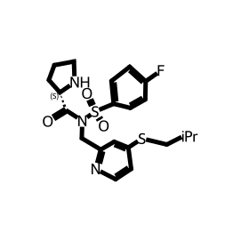 CC(C)CSc1ccnc(CN(C(=O)[C@@H]2CCCN2)S(=O)(=O)c2ccc(F)cc2)c1